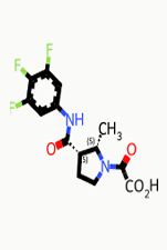 C[C@H]1[C@@H](C(=O)Nc2cc(F)c(F)c(F)c2)CCN1C(=O)C(=O)O